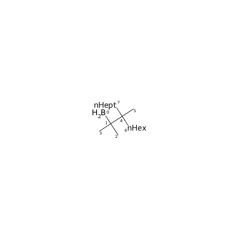 BC(C)(C)C(C)(CCCCCC)CCCCCCC